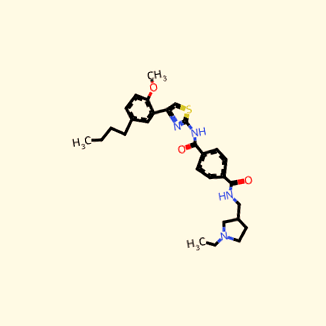 CCCCc1ccc(OC)c(-c2csc(NC(=O)c3ccc(C(=O)NCC4CCN(CC)C4)cc3)n2)c1